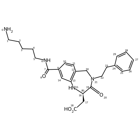 NCCCCCNC(=O)c1ccc2c(c1)N[C@H](CC(=O)O)C(=O)N(CCc1ccccc1)C2